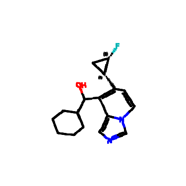 OC(c1c([C@@H]2C[C@@H]2F)ccn2cncc12)C1CCCCC1